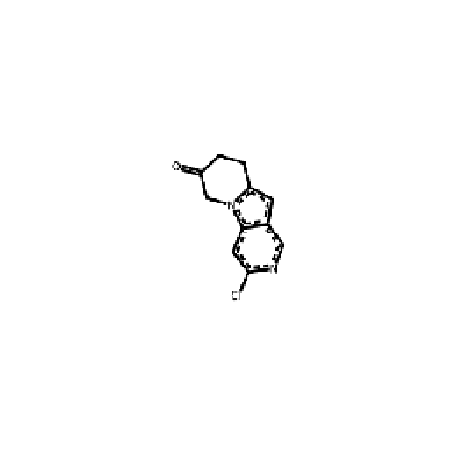 O=C1CCc2cc3cnc(Cl)cc3n2C1